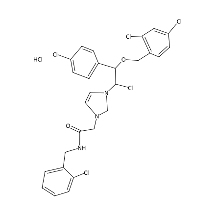 Cl.O=C(CN1C=CN(C(Cl)C(OCc2ccc(Cl)cc2Cl)c2ccc(Cl)cc2)C1)NCc1ccccc1Cl